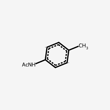 CC(=O)Nc1[c]cc(C)[c]c1